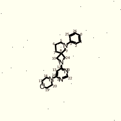 c1ccc(N2CCCC3(C2)CN(c2cc(N4CCOCC4)ncn2)C3)cc1